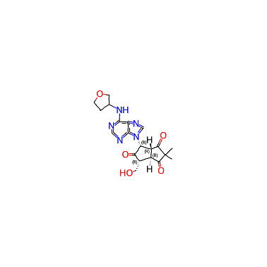 CC1(C)C(=O)[C@@H]2[C@@H](C1=O)[C@@H](n1cnc3c(NC4CCOC4)ncnc31)C(=O)[C@H]2CO